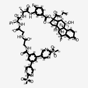 CC(C)[C@H](NC(=O)CNC(=O)CNC(=O)c1cc(-c2cnc(S(C)(=O)=O)nc2)cc(-c2cnc(S(C)(=O)=O)nc2)c1)C(=O)N[C@@H](C)C(=O)Nc1cc(C(=O)O[C@]2(C(=O)SCF)CC[C@H]3[C@@H]4C[C@H](F)C5=CC(=O)C=C[C@]5(C)[C@@]4(F)[C@@H](O)C[C@@]32C)ccc1F